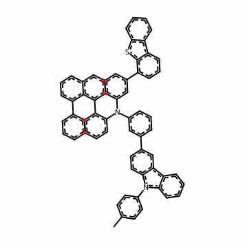 Cc1ccc(-n2c3ccccc3c3cc(-c4cccc(N(c5cccc(-c6cccc7c6sc6ccccc67)c5)c5ccccc5-c5cccc6cccc(-c7ccccc7)c56)c4)ccc32)cc1